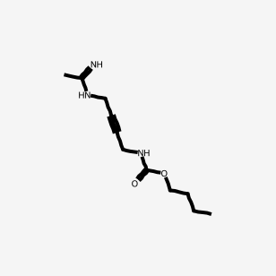 CCCCOC(=O)NCC#CCNC(C)=N